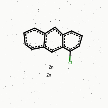 Clc1cccc2cc3ccccc3cc12.[Zn].[Zn]